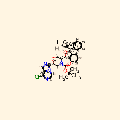 CC(C)(C)OC(=O)N1C[C@H](c2ncc3c(Cl)nccn23)OC[C@H]1CO[Si](c1ccccc1)(c1ccccc1)C(C)(C)C